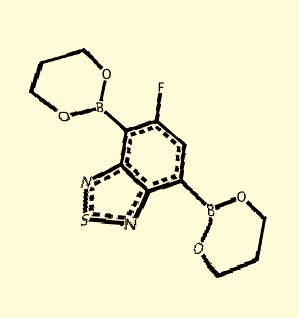 Fc1cc(B2OCCCO2)c2nsnc2c1B1OCCCO1